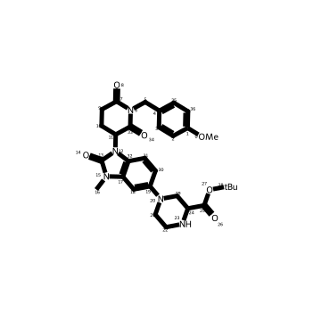 COc1ccc(CN2C(=O)CCC(n3c(=O)n(C)c4cc(N5CCNC(C(=O)OC(C)(C)C)C5)ccc43)C2=O)cc1